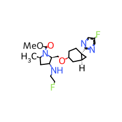 COC(=O)N1[C@H](C)C[C@H](NCCF)[C@@H]1CO[C@H]1CC[C@@]2(c3ncc(F)cn3)C[C@H]2C1